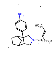 CN1CC2C3CCC(C3)C2(c2ccc(N)cc2)C1.O=C(O)C=CC(=O)O